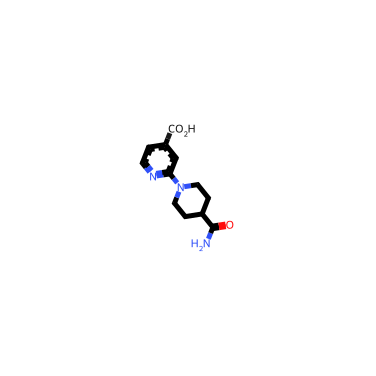 NC(=O)C1CCN(c2cc(C(=O)O)ccn2)CC1